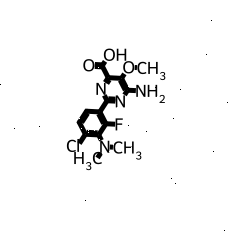 COc1c(N)nc(-c2ccc(Cl)c(N(C)C)c2F)nc1C(=O)O